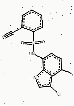 N#Cc1ccccc1S(=O)(=O)Nc1ccc(I)c2c(Cl)c[nH]c12